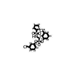 O=P(CNS(=O)(=O)c1cccs1)(Oc1cccc(Cl)c1)Oc1cccc(Cl)c1